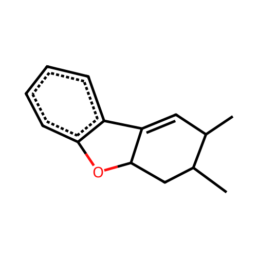 CC1C=C2c3ccccc3OC2CC1C